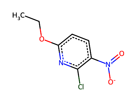 CCOc1ccc([N+](=O)[O-])c(Cl)n1